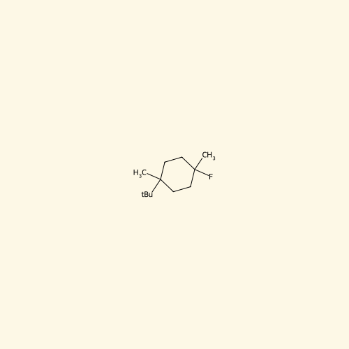 CC1(F)CCC(C)(C(C)(C)C)CC1